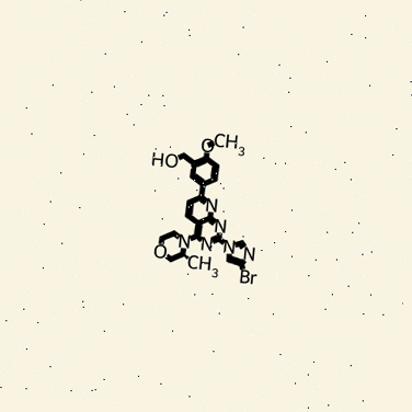 COc1ccc(-c2ccc3c(N4CCOC[C@@H]4C)nc(-n4cnc(Br)c4)nc3n2)cc1CO